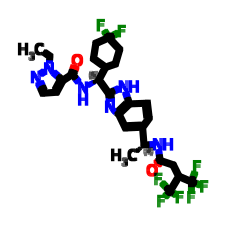 CCn1nccc1C(=O)N[C@H](c1nc2cc([C@@H](C)NC(=O)CC(C(F)(F)F)C(F)(F)F)ccc2[nH]1)C1CCC(F)(F)CC1